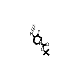 CC(C)(C)OC(=O)N1CCC(N=[N+]=[N-])C(F)C1